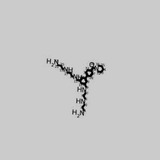 NCCCNCCCNCc1cc(CNCCCNCCCN)cc(-c2ccc(C(=O)N3CCCCC3)cc2)c1